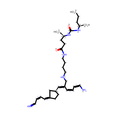 N=C/C=C\C=C1\CC[C@H](\C=C(/C=C\C=C/N)CNCCCCNC(=O)CC[C@H](NC(=O)N[C@@H](CCC(=O)O)C(=O)O)C(=O)O)C1